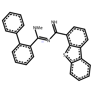 CN/C(=N\C(=N)c1cccc2c1sc1ccccc12)c1ccccc1-c1ccccc1